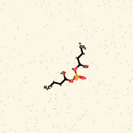 CCCC(Br)O[PH](=O)OC(Br)CCC